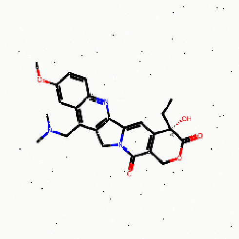 CC[C@@]1(O)C(=O)OCc2c1cc1n(c2=O)Cc2c-1nc1ccc(OC)cc1c2CN(C)C